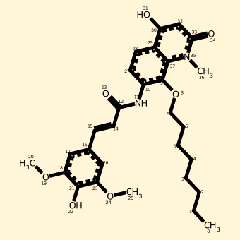 CCCCCCCCOc1c(NC(=O)C=Cc2cc(OC)c(O)c(OC)c2)ccc2c(O)cc(=O)n(C)c12